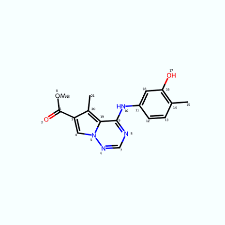 COC(=O)c1cn2ncnc(Nc3ccc(C)c(O)c3)c2c1C